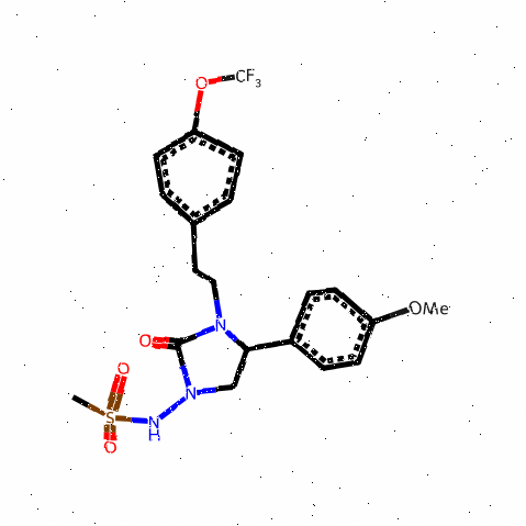 COc1ccc(C2CN(NS(C)(=O)=O)C(=O)N2CCc2ccc(OC(F)(F)F)cc2)cc1